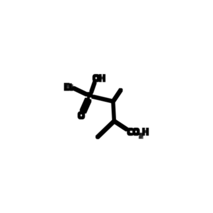 CCP(=O)(O)C(C)C(C)C(=O)O